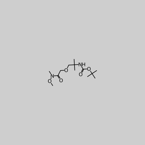 CON(C)C(=O)COCC(C)(C)NC(=O)OC(C)(C)C